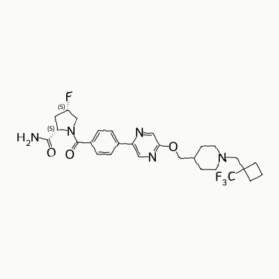 NC(=O)[C@@H]1C[C@H](F)CN1C(=O)c1ccc(-c2cnc(OCC3CCN(CC4(C(F)(F)F)CCC4)CC3)cn2)cc1